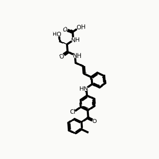 Cc1ccccc1C(=O)c1ccc(Nc2ccccc2C=CCNC(=O)[C@@H](CO)NC(=O)O)cc1Cl